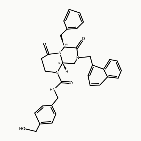 O=C1[C@H](Cc2ccccc2)N2C(=O)CCN(C(=O)NCc3ccc(CO)cc3)[C@H]2CN1Cc1cccc2ccccc12